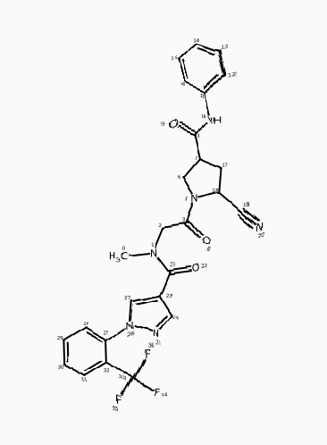 CN(CC(=O)N1CC(C(=O)Nc2ccccc2)CC1C#N)C(=O)c1cnn(-c2ccccc2C(F)(F)F)c1